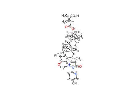 Cc1c([C@@]23CC[C@]4(C)[C@H](CC[C@@H]5[C@@]6(C)CC[C@H](OC(=O)CC(C)(C)C(=O)O)C(C)(C)[C@@H]6CC[C@]54C)C2=C(C(C)C)C(=O)C3)n(C)n(-c2ccc(C#N)cn2)c1=O